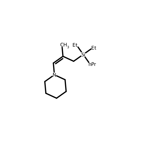 CCC[Si](CC)(CC)CC(C)=CN1CCCCC1